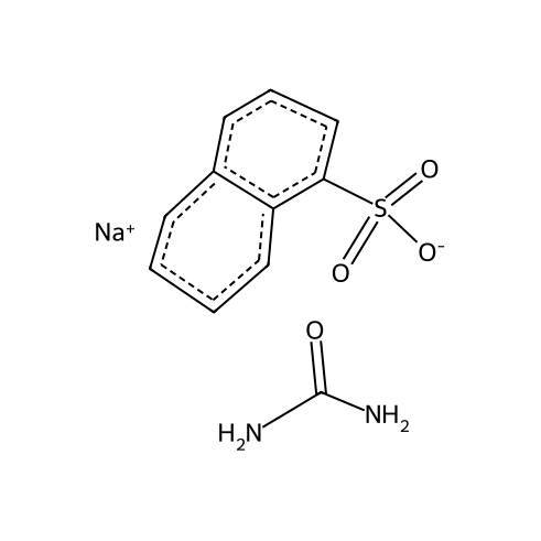 NC(N)=O.O=S(=O)([O-])c1cccc2ccccc12.[Na+]